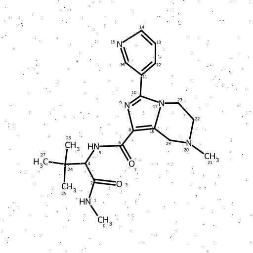 CNC(=O)C(NC(=O)c1nc(-c2cccnc2)n2c1CN(C)CC2)C(C)(C)C